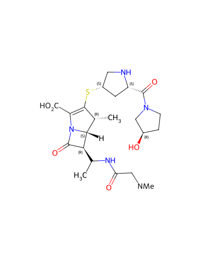 CNCC(=O)NC(C)[C@H]1C(=O)N2C(C(=O)O)=C(S[C@@H]3CN[C@H](C(=O)N4CC[C@@H](O)C4)C3)[C@H](C)[C@H]12